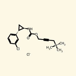 C[N+](C)(C)CC#CCOC(=O)N[C@@H]1C[C@H]1c1cccc(Cl)c1.[Cl-]